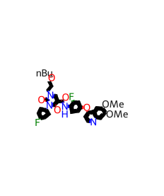 CCCCOCCCn1cc(C(=O)Nc2ccc(Oc3ccnc4cc(OC)c(OC)cc34)cc2F)c(=O)n(-c2ccc(F)cc2)c1=O